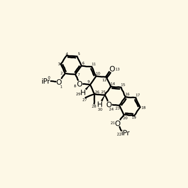 CC(C)Oc1cccc2c1O[C@@H]1C(=C2)C(=O)C2=Cc3cccc(OC(C)C)c3O[C@@H]2C1(C)C